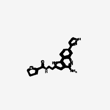 Nc1nc2cc(-c3cc[nH]n3)ccc2c2[nH]c(CCNC(=O)C3CCCO3)cc12